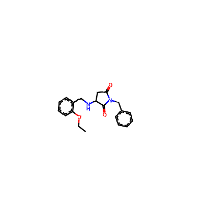 CCOc1ccccc1CNC1CC(=O)N(Cc2ccccc2)C1=O